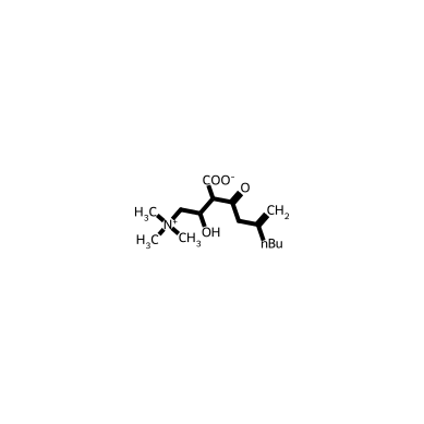 C=C(CCCC)CC(=O)C(C(=O)[O-])C(O)C[N+](C)(C)C